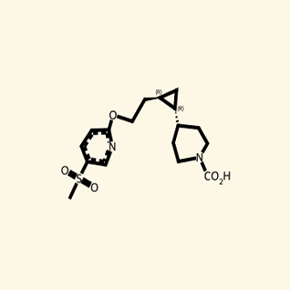 CS(=O)(=O)c1ccc(OCC[C@H]2C[C@@H]2C2CCN(C(=O)O)CC2)nc1